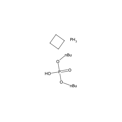 C1CCC1.CCCCOP(=O)(O)OCCCC.P